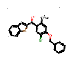 COc1cc(OCc2ccccc2)c(Br)cc1C(O)c1cc2ccccc2s1